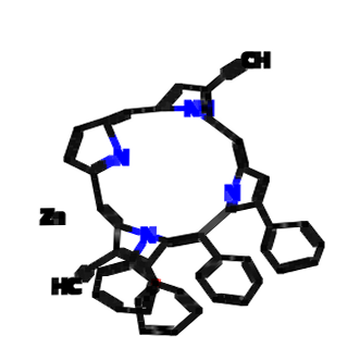 C#Cc1cc2cc3nc(cc4c(C#C)c(-c5ccccc5)c(c(-c5ccccc5)c5nc(cc1[nH]2)C=C5c1ccccc1)n4-c1ccccc1)C=C3.[Zn]